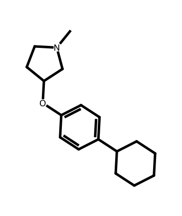 CN1CCC(Oc2ccc(C3CCCCC3)cc2)C1